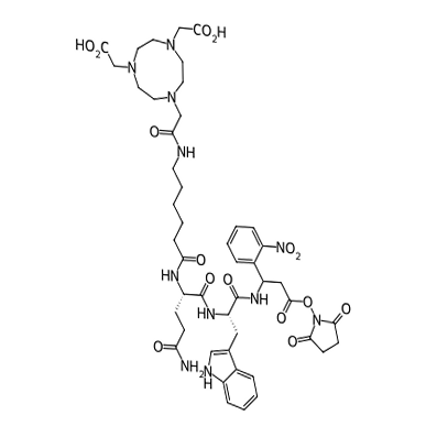 NC(=O)CC[C@H](NC(=O)CCCCCNC(=O)CN1CCN(CC(=O)O)CCN(CC(=O)O)CC1)C(=O)N[C@@H](Cc1c[nH]c2ccccc12)C(=O)NC(CC(=O)ON1C(=O)CCC1=O)c1ccccc1[N+](=O)[O-]